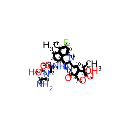 CC[C@@]1(O)C(=O)OCc2c1cc1n(c2=O)Cc2c-1nc1cc(F)c(C)c3c1c2[C@@H](NC(=O)CN(CCN)C(=O)O)CC3